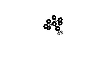 O=P(=S=S)c1ccc(-c2cc(N(c3ccccc3)c3cccc4ccccc34)cc(N(c3ccccc3)c3cccc4ccccc34)c2)cc1